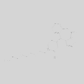 Br.O=C1Cc2ccccc2C(=C2CCN(CCOCCOCCO)CC2)c2ccsc21